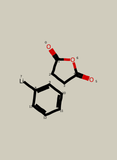 O=C1CCC(=O)O1.[Li][c]1ccccc1